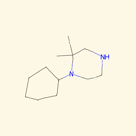 CC1(C)CNCCN1C1CCCCC1